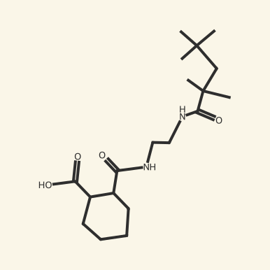 CC(C)(C)CC(C)(C)C(=O)NCCNC(=O)C1CCCCC1C(=O)O